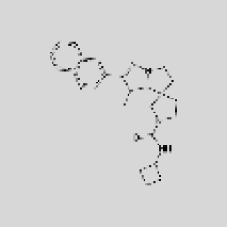 CC1C(c2cnc3ccccc3c2)=NN2CCC3(CCN(C(=O)NC4CCC4)C3)C12